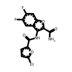 CCc1ccc(C(=O)Nc2c(C(N)=O)oc3cc(F)c(F)cc23)o1